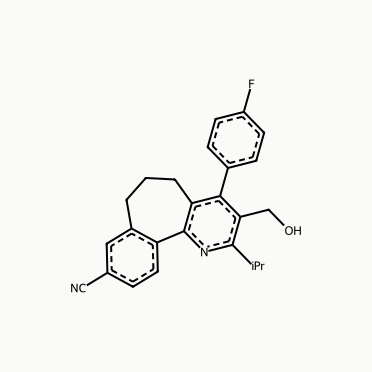 CC(C)c1nc2c(c(-c3ccc(F)cc3)c1CO)CCCc1cc(C#N)ccc1-2